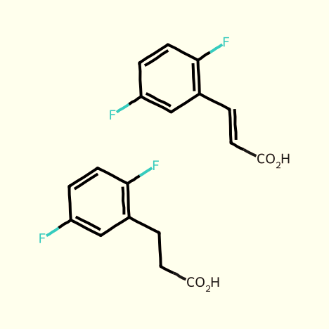 O=C(O)C=Cc1cc(F)ccc1F.O=C(O)CCc1cc(F)ccc1F